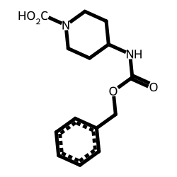 O=C(NC1CCN(C(=O)O)CC1)OCc1ccccc1